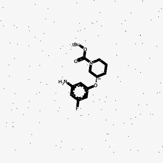 CC(C)(C)OC(=O)N1CCC[C@H](Oc2cc(N)cc(F)c2)C1